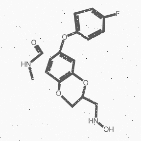 CNC=O.ONCC1COc2ccc(Oc3ccc(F)cc3)cc2O1